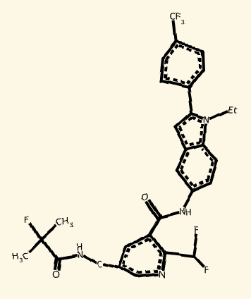 CCn1c(-c2ccc(C(F)(F)F)cc2)cc2cc(NC(=O)c3cc(CNC(=O)C(C)(C)F)cnc3C(F)F)ccc21